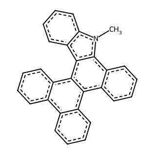 Cn1c2ccccc2c2c3c4ccccc4c4ccccc4c3c3ccccc3c21